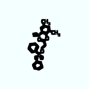 Cc1cc(C)c(OC(=O)CCOP(=O)(Oc2ccccc2)c2ccccc2)c(C(C)(C)C)c1